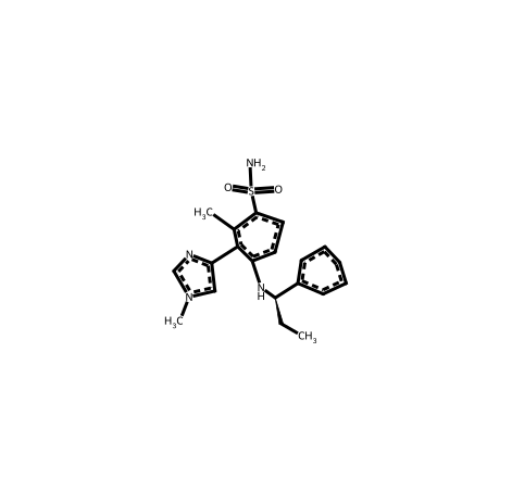 CC[C@@H](Nc1ccc(S(N)(=O)=O)c(C)c1-c1cn(C)cn1)c1ccccc1